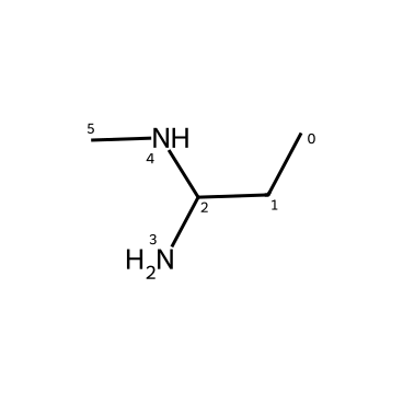 CCC(N)NC